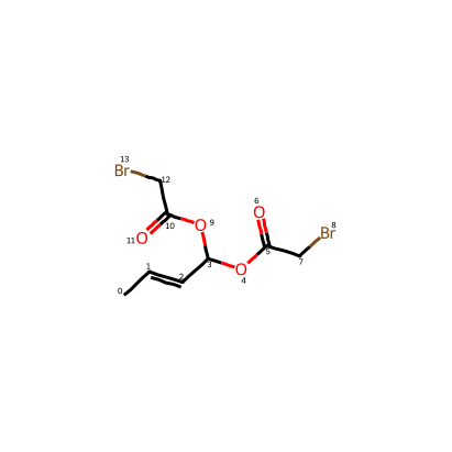 C/C=C/C(OC(=O)CBr)OC(=O)CBr